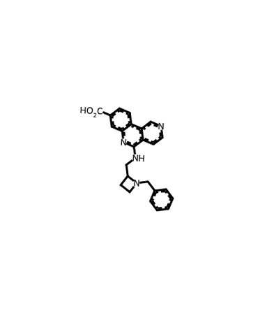 O=C(O)c1ccc2c(c1)nc(NCC1CCN1Cc1ccccc1)c1ccncc12